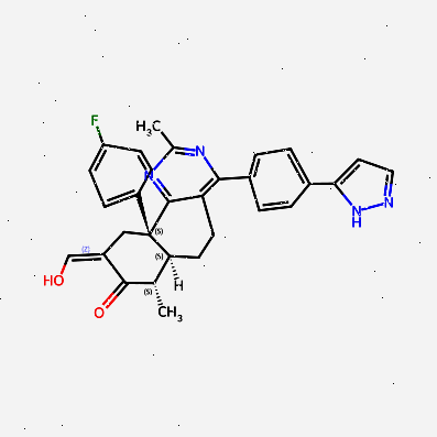 Cc1nc(-c2ccc(-c3ccn[nH]3)cc2)c2c(n1)[C@@]1(c3ccc(F)cc3)C/C(=C/O)C(=O)[C@@H](C)[C@@H]1CC2